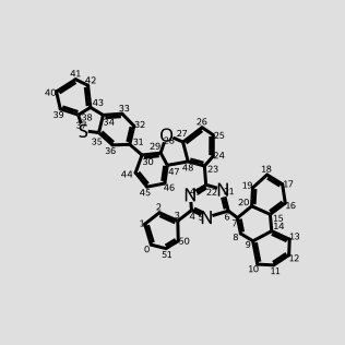 c1ccc(-c2nc(-c3cc4ccccc4c4ccccc34)nc(-c3cccc4oc5c(-c6ccc7c(c6)sc6ccccc67)cccc5c34)n2)cc1